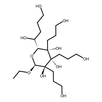 CCO[C@H]1O[C@H](C(O)CCCO)[C@@](O)(CCCO)[C@@](O)(CCCO)[C@]1(O)CCCO